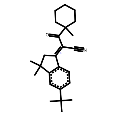 CC1(C(=O)/C(C#N)=C2\CC(C)(C)c3cc(C(C)(C)C)ccc32)CCCCC1